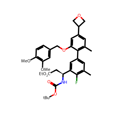 CCOC(=O)C[C@H](NC(=O)OC(C)(C)C)c1cc(-c2c(C)cc(C3COC3)cc2OCc2ccc(OC)c(OC)c2)cc(C)c1F